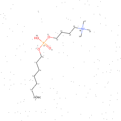 CCCCCCCCCCCCCCCCOP(=O)(O)OCCCC[N+](C)(C)C